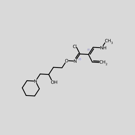 C=CC(=C\NC)/C(Cl)=N/OCCC(O)CN1CCCCC1